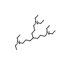 CCN(CC)CCC[C](CCCN(CC)CC)CCCN(CC)CC